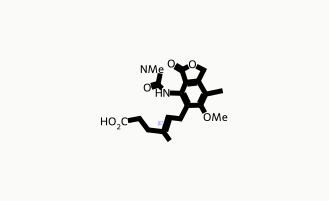 CNC(=O)Nc1c(C/C=C(\C)CCC(=O)O)c(OC)c(C)c2c1C(=O)OC2